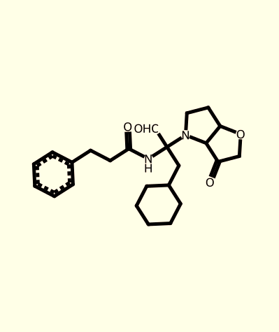 O=CC(CC1CCCCC1)(NC(=O)CCc1ccccc1)N1CCC2OCC(=O)C21